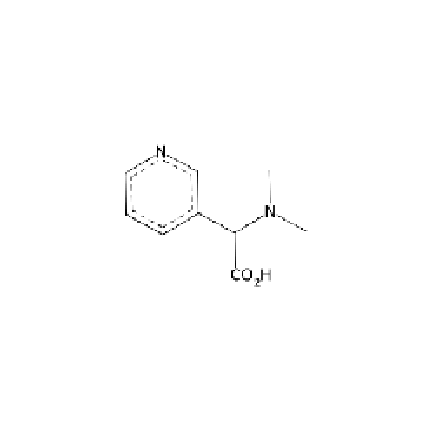 CN(C)C(C(=O)O)c1cccnc1